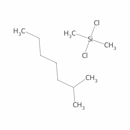 CCCCCC(C)C.C[Si](C)(Cl)Cl